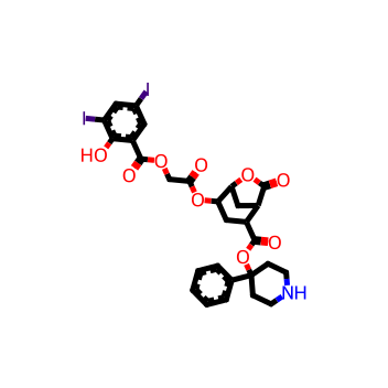 O=C(COC(=O)c1cc(I)cc(I)c1O)OC1CC(C(=O)OC2(c3ccccc3)CCNCC2)C2CC1OC2=O